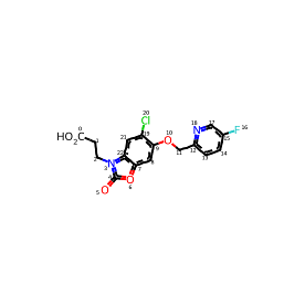 O=C(O)CCn1c(=O)oc2cc(OCc3ccc(F)cn3)c(Cl)cc21